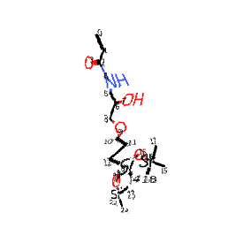 C=CC(=O)NCC(O)COCCC[Si](C)(O[Si](C)(C)C)O[Si](C)(C)C